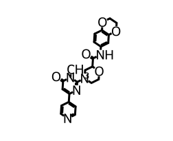 Cn1c(N2CCOC(C(=O)Nc3ccc4c(c3)OCCO4)C2)nc(-c2ccncc2)cc1=O